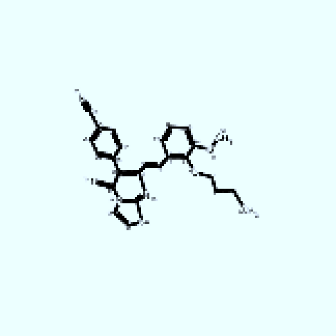 CCCCOc1c(C=Cc2nc3sccn3c(=O)c2-c2ccc(C#N)cc2)cccc1OC